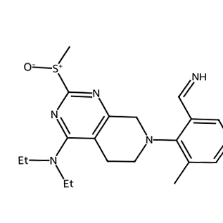 CCN(CC)c1nc([S+](C)[O-])nc2c1CCN(c1c(C)cccc1C=N)C2